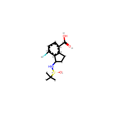 CC(C)(C)[S@@+]([O-])NC1CCc2c(C(=O)O)ccc(F)c21